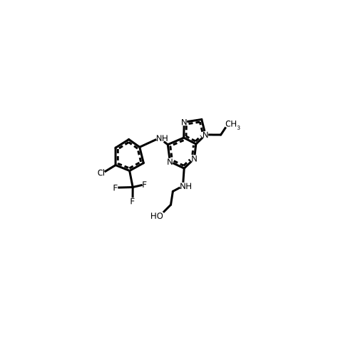 CCn1cnc2c(Nc3ccc(Cl)c(C(F)(F)F)c3)nc(NCCO)nc21